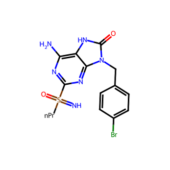 CCCS(=N)(=O)c1nc(N)c2[nH]c(=O)n(Cc3ccc(Br)cc3)c2n1